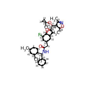 Cc1ccc([C@@H](NC(=O)Cc2cc(F)c3oc(C(OC4(C(=O)O)CC4)c4c(C)noc4C)cc3c2)c2ccccc2)c(C)c1